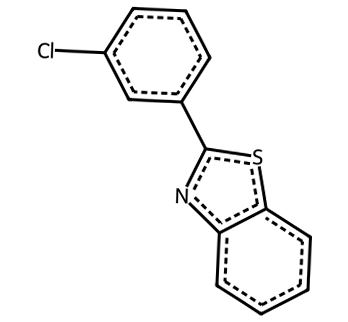 Clc1cccc(-c2nc3ccccc3s2)c1